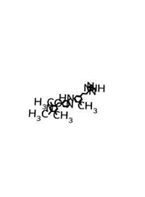 CCc1nc(C)c(Oc2ccnc(Nc3cc(C)cc(CCc4nn[nH]n4)c3)c2)cc1C